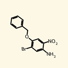 Nc1cc(Br)c(OCc2ccccc2)cc1[N+](=O)[O-]